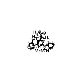 CNc1nc2ccccc2n1-c1nc2c(c(C(C)(C)[S+](C)[O-])n1)OCC1COCCN21